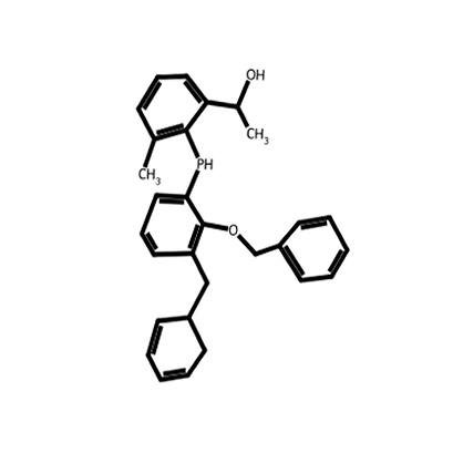 Cc1cccc(C(C)O)c1Pc1cccc(CC2C=CC=CC2)c1OCc1ccccc1